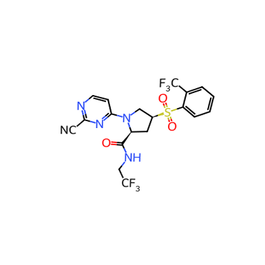 N#Cc1nccc(N2C[C@@H](S(=O)(=O)c3ccccc3C(F)(F)F)C[C@H]2C(=O)NCC(F)(F)F)n1